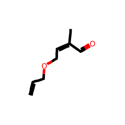 C=CCOCC=C(C)C=O